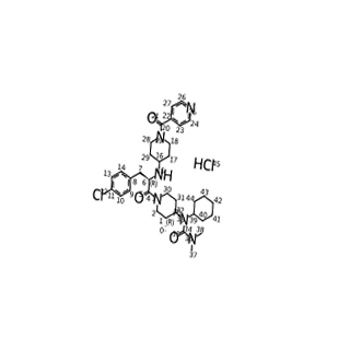 C[C@@H]1CN(C(=O)[C@@H](Cc2ccc(Cl)cc2)NC2CCN(C(=O)c3ccncc3)CC2)CC[C@H]1N(C(=O)N(C)C)C1CCCCC1.Cl